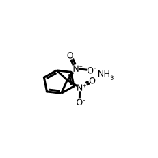 N.O=[N+]([O-])C1([N+](=O)[O-])C2=CC=C1C=C2